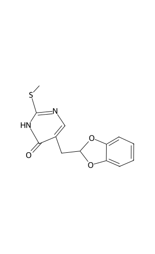 CSc1ncc(CC2Oc3ccccc3O2)c(=O)[nH]1